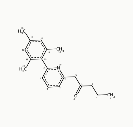 CCCC(=O)Cc1cccc(-c2c(C)cc(C)cc2C)n1